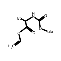 C=COC(=O)C(CC)NC(=O)OC(C)(C)C